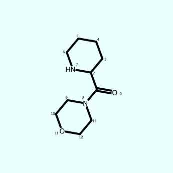 O=C(C1CCCCN1)N1CCOCC1